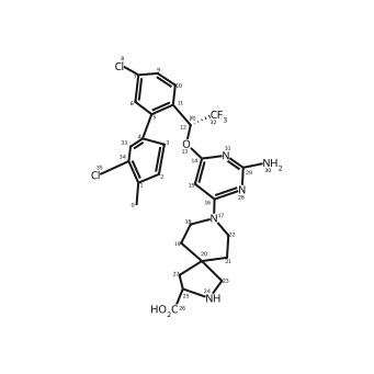 Cc1ccc(-c2cc(Cl)ccc2[C@@H](Oc2cc(N3CCC4(CC3)CNC(C(=O)O)C4)nc(N)n2)C(F)(F)F)cc1Cl